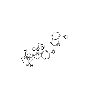 CS(=O)(=O)N[C@@H]1C[C@H]2CC[C@@H](C1)N2CCc1ccc(Oc2nc3c(Cl)cccc3s2)cc1